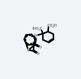 CCOC(=O)C1CC=CCC1(CC)C(=O)OCC.O=C1c2cccc3c2C(=O)N13